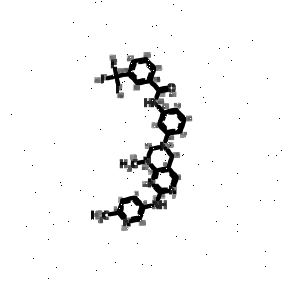 Cc1ccc(Nc2ncc3c(n2)N(C)CN(c2cccc(NC(=O)c4cccc(C(F)(F)F)c4)c2)C3)cn1